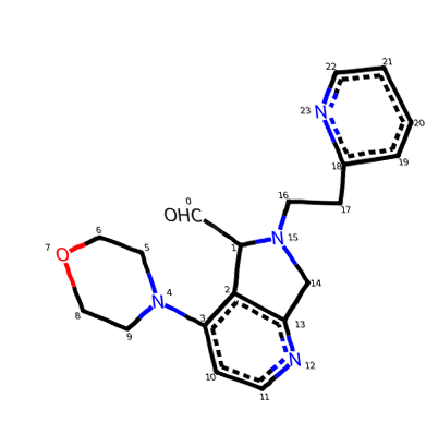 O=CC1c2c(N3CCOCC3)ccnc2CN1CCc1ccccn1